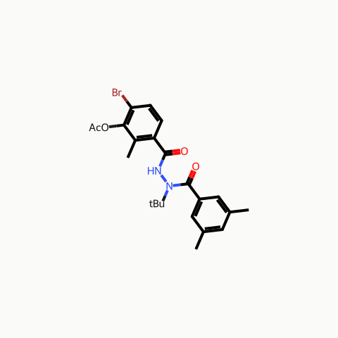 CC(=O)Oc1c(Br)ccc(C(=O)NN(C(=O)c2cc(C)cc(C)c2)C(C)(C)C)c1C